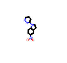 O=[N+]([O-])c1ccc2c(ccn2-c2cccnn2)c1